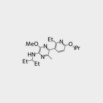 CCc1nc(OC(C)C)ccc1-c1nc(OC)c(NC(CC)CC)nc1C